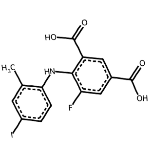 Cc1cc(I)ccc1Nc1c(F)cc(C(=O)O)cc1C(=O)O